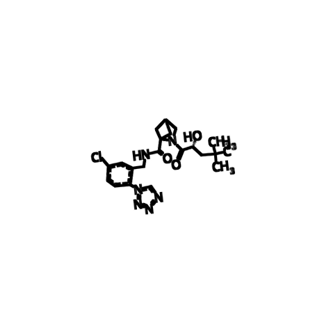 CC(C)(C)C[C@@H](O)C(=O)N1CC2CC1(C(=O)NCc1cc(Cl)ccc1-n1cnnn1)C2